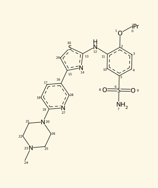 CC(C)Oc1ccc(S(N)(=O)=O)cc1Nc1nc(-c2ccc(N3CCN(C)CC3)nc2)cs1